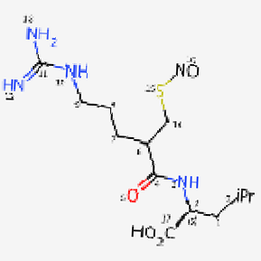 CC(C)C[C@H](NC(=O)C(CCCNC(=N)N)CSN=O)C(=O)O